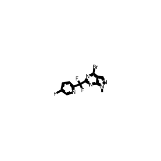 Cn1ncc2c(Br)nc(C(F)(F)c3ccc(F)cn3)nc21